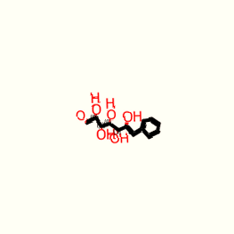 O=C[C@@H](O)[C@@H](O)[C@H](O)[C@H](O)C(O)=Cc1ccccc1